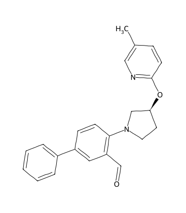 Cc1ccc(O[C@H]2CCN(c3ccc(-c4ccccc4)cc3C=O)C2)nc1